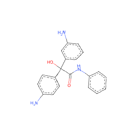 Nc1ccc(C(O)(C(=O)Nc2ccccc2)c2cccc(N)c2)cc1